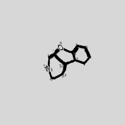 C1=CCC2C(=C1)OC1CNCCC12